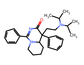 CC(C)N(CCC1(c2ccccc2)C(=O)N=C(c2ccccc2)N2CCCCC21)C(C)C